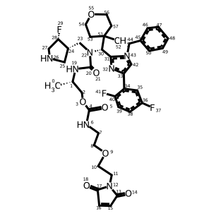 C[C@@H](COC(=O)NCCOCCN1C(=O)C=CC1=O)NC(=O)N(C[C@@H]1CNC[C@@H]1F)[C@@H](c1nc(-c2cc(F)ccc2F)cn1Cc1ccccc1)C1(C)CCOCC1